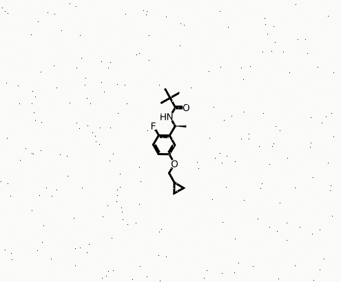 C[C@H](NC(=O)C(C)(C)C)c1cc(OCC2CC2)ccc1F